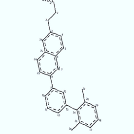 CCOC(=O)CCc1ccc2nc(-c3cccc(-c4c(C)cccc4C)c3)ccc2c1